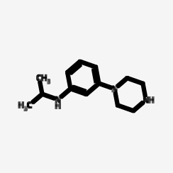 CC(C)Nc1cccc(N2CCNCC2)c1